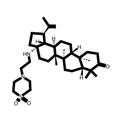 C=C(C)[C@@H]1CC[C@]2(NCCN3CCS(=O)(=O)CC3)CC[C@]3(C)[C@H](CC[C@@H]4[C@@]5(C)CCC(=O)C(C)(C)[C@@H]5CC[C@]43C)[C@@H]12